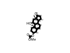 COC(=O)O[C@H]1CC[C@@]2(C)C(=CCC3C2[C@H](O)C[C@]2(C)C(=O)CCC32)C1